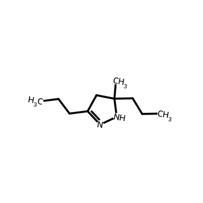 CCCC1=NNC(C)(CCC)C1